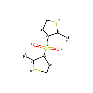 CCC1SCCC1S(=O)(=O)C1CCSC1CC